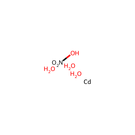 O.O.O.O=[N+]([O-])O.[Cd]